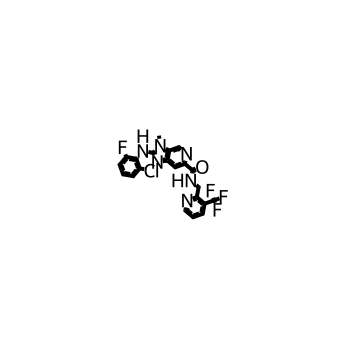 Cn1c(Nc2c(F)cccc2Cl)nc2cc(C(=O)NCc3ncccc3C(F)(F)F)ncc21